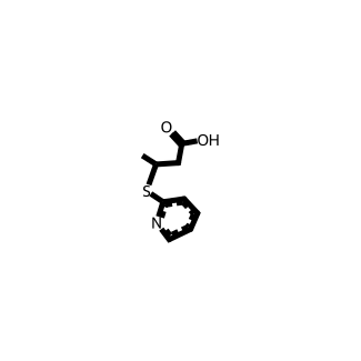 CC(CC(=O)O)Sc1ccccn1